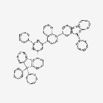 c1ccc(-c2nc(-c3cccc4c3-c3ccccc3C4(c3ccccc3)c3ccccc3)cc(-c3ccc(-c4ccc5c6ccccc6n(-c6ccccc6)c5c4)c4ccccc34)n2)cc1